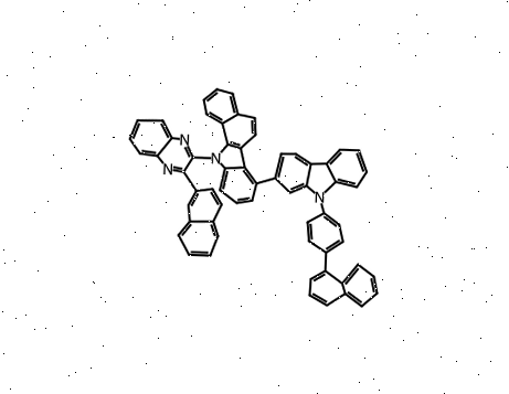 c1ccc2cc(-c3nc4ccccc4nc3-n3c4cccc(-c5ccc6c7ccccc7n(-c7ccc(-c8cccc9ccccc89)cc7)c6c5)c4c4ccc5ccccc5c43)ccc2c1